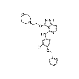 Clc1cc(Nc2ncnc3[nH]nc(OCCN4CCCOCC4)c23)ccc1OCc1ccccn1